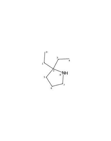 CCC1(CC)CCCN1